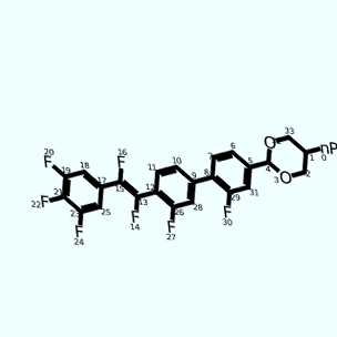 CCCC1COC(c2ccc(-c3ccc(/C(F)=C(\F)c4cc(F)c(F)c(F)c4)c(F)c3)c(F)c2)OC1